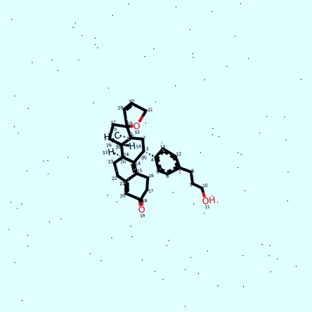 C[C@]12C[C@H](c3ccc(CCCO)cc3)C3=C4CCC(=O)C=C4CC[C@H]3[C@@H]1CCC21C=CCO1